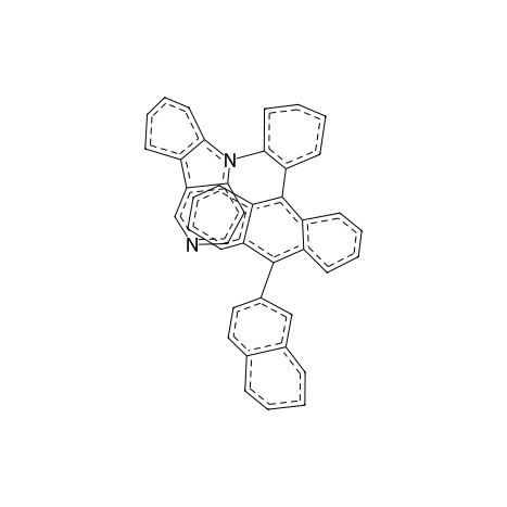 c1ccc(-n2c3ccccc3c3cnccc32)c(-c2c3ccccc3c(-c3ccc4ccccc4c3)c3ccccc23)c1